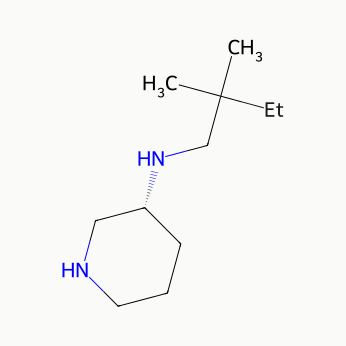 CCC(C)(C)CN[C@@H]1CCCNC1